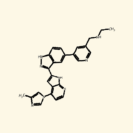 CCNCc1cncc(-c2ccc3[nH]nc(-c4cc5c(-n6cnc(C)c6)ccnc5[nH]4)c3c2)c1